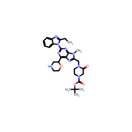 CCc1nc2ccccc2n1-c1nc(C2CNCCO2)c2nc(CN3CCN(C(=O)OC(C)(C)C)CC3=O)n(C)c2n1